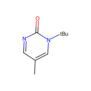 Cc1cnc(=O)n(C(C)(C)C)c1